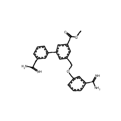 COC(=O)c1cc(COc2cccc(C(=N)N)c2)cc(-c2cccc(C(=N)N)c2)c1